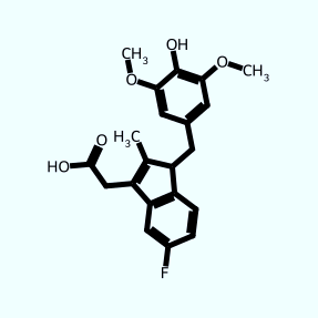 COc1cc(CC2C(C)=C(CC(=O)O)c3cc(F)ccc32)cc(OC)c1O